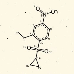 CCc1cc([N+](=O)[O-])ccc1S(=O)(=O)C1CC1